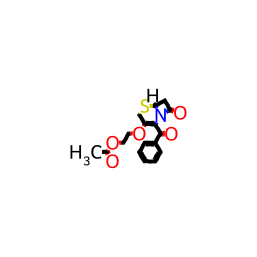 CC(=O)OCCOC1=C(C(=O)c2ccccc2)N2C(=O)C[C@H]2SC1